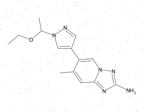 CCOC(C)n1cc(-c2cn3nc(N)nc3cc2C)cn1